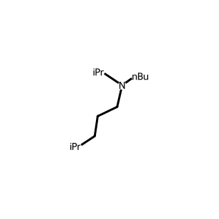 CCCCN(CCCC(C)C)C(C)C